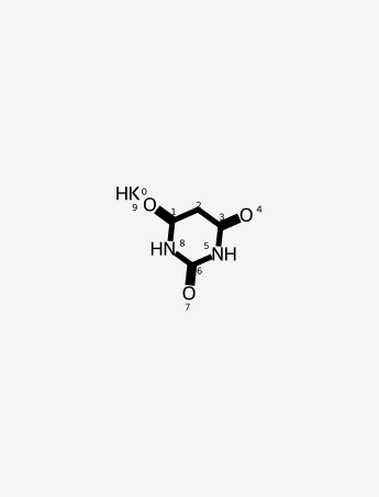 O=C1CC(=O)NC(=O)N1.[KH]